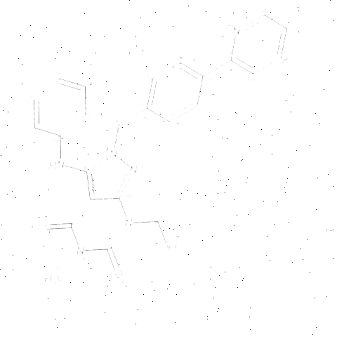 CC(C)Cn1c(=O)n(C)c(=O)c2c(Nc3ccccc3)n(Cc3ccc(-c4ccccn4)cc3)nc21